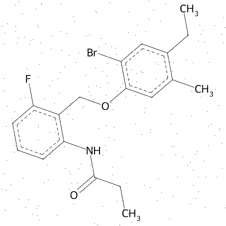 CCC(=O)Nc1cccc(F)c1COc1cc(C)c(CC)cc1Br